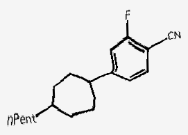 CCCCCC1CCC(c2ccc(C#N)c(F)c2)CC1